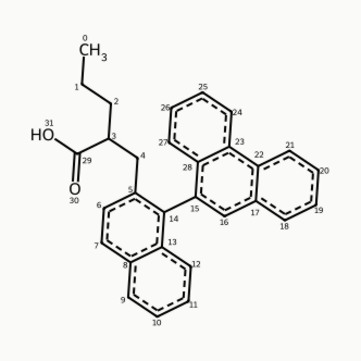 CCCC(Cc1ccc2ccccc2c1-c1cc2ccccc2c2ccccc12)C(=O)O